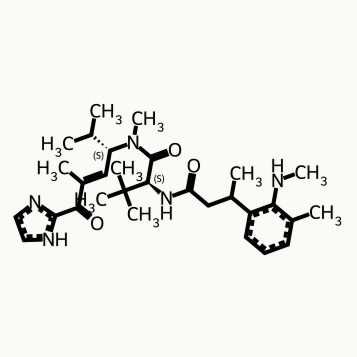 CNc1c(C)cccc1C(C)CC(=O)N[C@H](C(=O)N(C)[C@H](C=C(C)C(=O)c1ncc[nH]1)C(C)C)C(C)(C)C